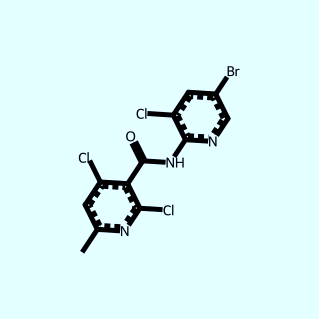 Cc1cc(Cl)c(C(=O)Nc2ncc(Br)cc2Cl)c(Cl)n1